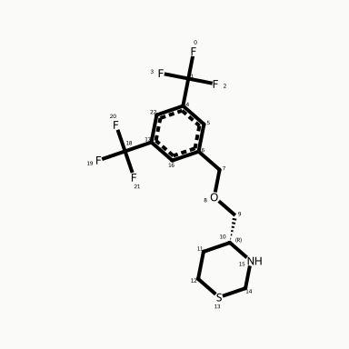 FC(F)(F)c1cc(COC[C@H]2CCSCN2)cc(C(F)(F)F)c1